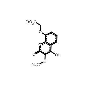 CCCCCCCCOc1c(O)c2cccc(OCC(=O)OCC)c2oc1=O